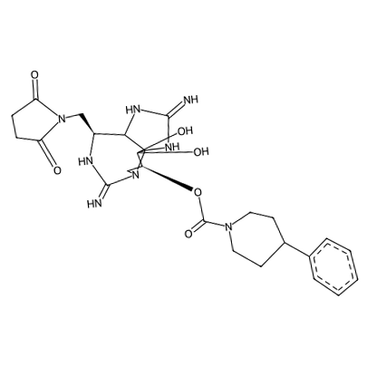 N=C1NC2[C@H](CN3C(=O)CCC3=O)NC(=N)N3C[C@H](OC(=O)N4CCC(c5ccccc5)CC4)C(O)(O)C23N1